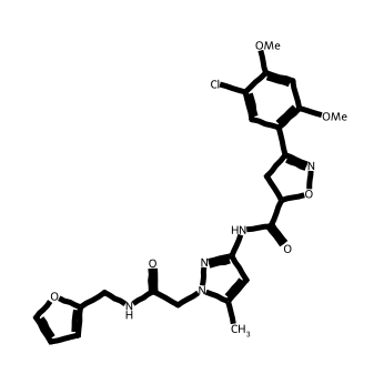 COc1cc(OC)c(C2=NOC(C(=O)Nc3cc(C)n(CC(=O)NCc4ccco4)n3)C2)cc1Cl